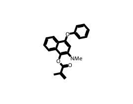 C=C(C)C(=O)Oc1c(NC)cc(Oc2ccccc2)c2ccccc12